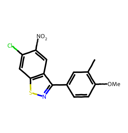 COc1ccc(-c2nsc3cc(Cl)c([N+](=O)[O-])cc23)cc1C